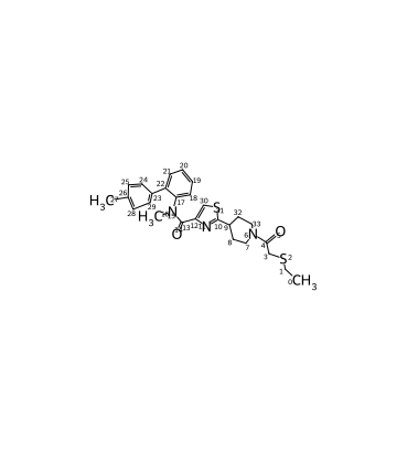 CCSCC(=O)N1CCC(c2nc(C(=O)N(C)c3ccccc3-c3ccc(C)cc3)cs2)CC1